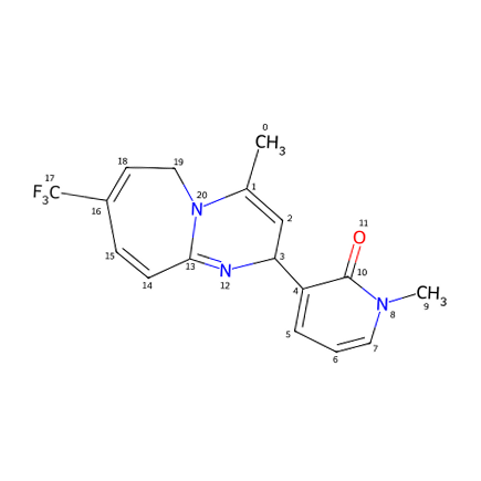 CC1=CC(c2cccn(C)c2=O)N=C2C=CC(C(F)(F)F)=CCN12